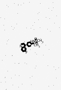 C[C@@H](NS(C)(=O)=O)[C@H]1CC[C@@H](c2ccnc3ccc(F)cc32)CC1